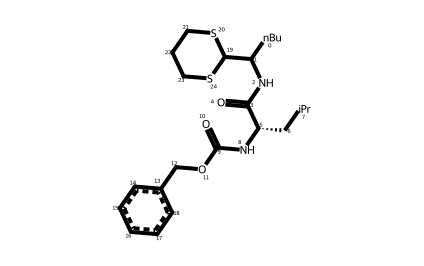 CCCCC(NC(=O)[C@H](CC(C)C)NC(=O)OCc1ccccc1)C1SCCCS1